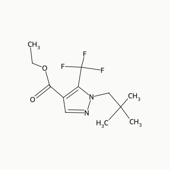 CCOC(=O)c1cnn(CC(C)(C)C)c1C(F)(F)F